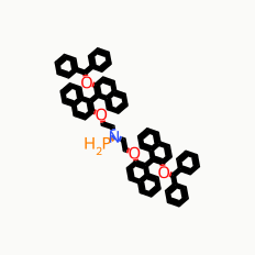 PN(CCOc1ccc2ccccc2c1-c1c(OC(c2ccccc2)c2ccccc2)ccc2ccccc12)CCOc1ccc2ccccc2c1-c1c(OC(c2ccccc2)c2ccccc2)ccc2ccccc12